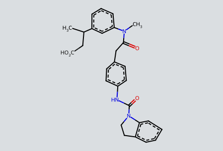 CC(CC(=O)O)c1cccc(N(C)C(=O)Cc2ccc(NC(=O)N3CCc4ccccc43)cc2)c1